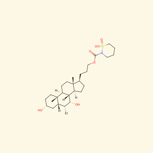 CC[C@H]1[C@@H](O)[C@@H]2[C@H](CC[C@]3(C)[C@@H](CCCOC(=O)N4CCCCS4(=O)=O)CC[C@@H]23)[C@@]2(C)CC[C@@H](O)C[C@@H]12